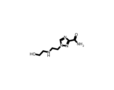 NC(=O)c1ncn(CCNCCO)n1